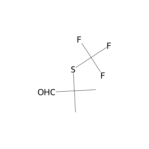 CC(C)(C=O)SC(F)(F)F